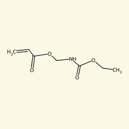 C=CC(=O)OCNC(=O)OCC